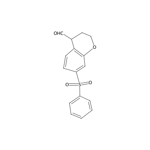 O=CC1CCOc2cc(S(=O)(=O)c3ccccc3)ccc21